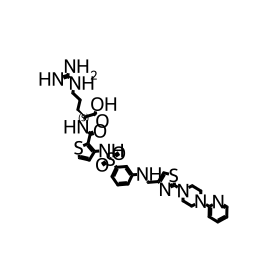 N=C(N)NCCC[C@H](NC(=O)c1sccc1NS(=O)(=O)c1cccc(NCc2csc(N3CCN(c4ccccn4)CC3)n2)c1)C(=O)O